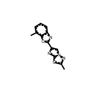 Cc1nn2cc(-c3nc4cccc(C)c4o3)nc2s1